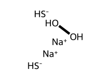 OO.[Na+].[Na+].[SH-].[SH-]